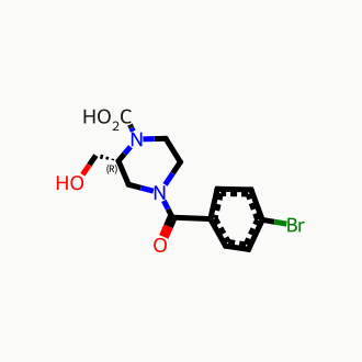 O=C(c1ccc(Br)cc1)N1CCN(C(=O)O)[C@@H](CO)C1